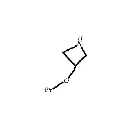 CC(C)OC1CNC1